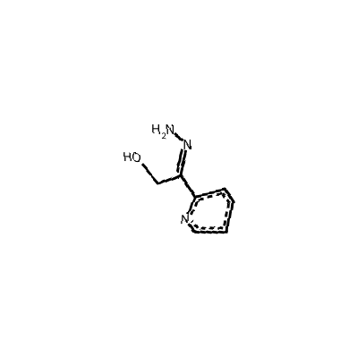 N/N=C(\CO)c1ccccn1